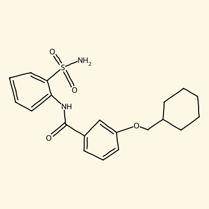 NS(=O)(=O)c1ccccc1NC(=O)c1cccc(OCC2CCCCC2)c1